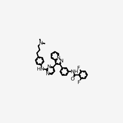 CN(C)CCCc1ccc(Nc2nccc(-c3c(-c4cccc(NC(=O)c5c(F)cccc5F)c4)nn4ccccc34)n2)cc1